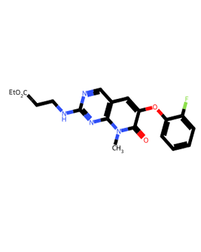 CCOC(=O)CCNc1ncc2cc(Oc3ccccc3F)c(=O)n(C)c2n1